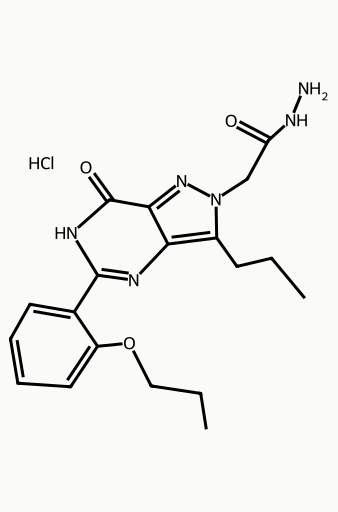 CCCOc1ccccc1-c1nc2c(CCC)n(CC(=O)NN)nc2c(=O)[nH]1.Cl